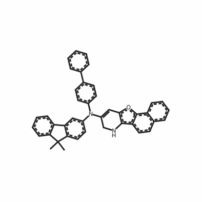 CC1(C)c2ccccc2-c2cc(N(C3=Cc4oc5c(ccc6ccccc65)c4NC3)c3ccc(-c4ccccc4)cc3)ccc21